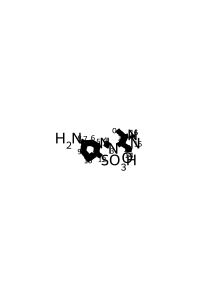 CC1=C(N=Nc2cc(N)ccc2S(=O)(=O)O)C(=O)N=N1